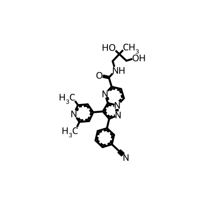 Cc1cc(-c2c(-c3cccc(C#N)c3)nn3ccc(C(=O)NCC(C)(O)CO)nc23)cc(C)n1